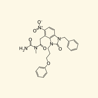 CN(C(N)=O)C(=O)Cc1c([N+](=O)[O-])ccc2c1n(CCCOc1ccccc1)c(=O)n2Cc1ccccc1